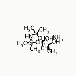 CCO.CCO.C[Si](C)(C)N[Si](C)(C)C.N